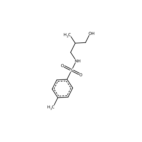 Cc1ccc(S(=O)(=O)NCC(C)CO)cc1